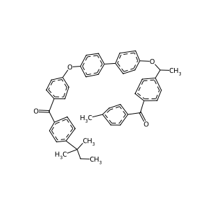 CCC(C)(C)c1ccc(C(=O)c2ccc(Oc3ccc(-c4ccc(OC(C)c5ccc(C(=O)c6ccc(C)cc6)cc5)cc4)cc3)cc2)cc1